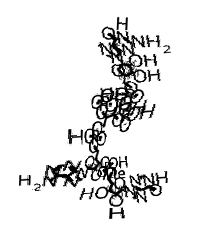 CO[C@@H]1[C@H](OP(=O)(O)OCC2O[C@@H](n3cnc4c(=O)[nH]cnc43)[C@H](O)[C@@H]2O)C(COP(=O)(O)OCC(OP(=O)(O)O)C(COP(=O)(O)OC[C@H]2OC(n3c[n+](C)c4c(=O)[nH]c(N)nc43)[C@H](O)[C@@H]2O)OP(=O)(O)O)O[C@H]1n1cnc2c(N)ncnc21